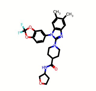 Cc1cc2nc(N3CCC(C(=O)NC4CCOC4)CC3)n(-c3ccc4c(c3)OC(F)(F)O4)c2cc1C